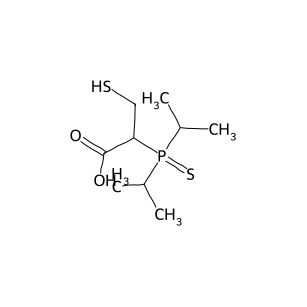 CC(C)P(=S)(C(C)C)C(CS)C(=O)O